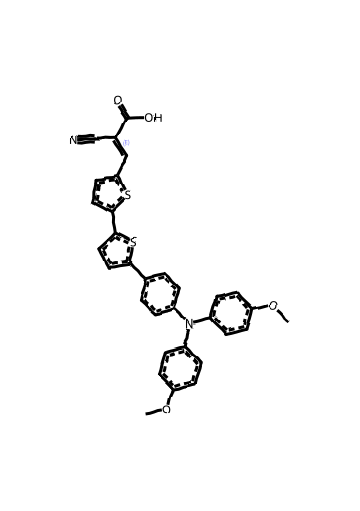 COc1ccc(N(c2ccc(OC)cc2)c2ccc(-c3ccc(-c4ccc(/C=C(\C#N)C(=O)O)s4)s3)cc2)cc1